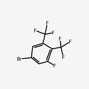 Fc1cc(Br)cc(C(F)(F)F)c1C(F)(F)F